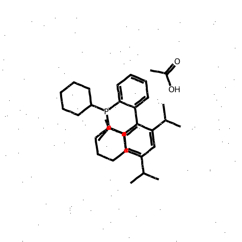 CC(=O)O.CC(C)c1cc(C(C)C)c(-c2ccccc2P(C2CCCCC2)C2CCCCC2)c(C(C)C)c1